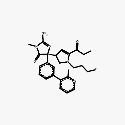 CCC(=O)C1=CC([C@]2(c3cccc(-c4cccnc4F)c3)N=C(N)N(C)C2=O)CN1CCCF